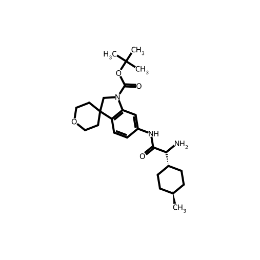 CC(C)(C)OC(=O)N1CC2(CCOCC2)c2ccc(NC(=O)C(N)[C@H]3CC[C@H](C)CC3)cc21